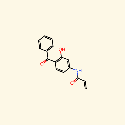 C=CC(=O)Nc1ccc(C(=O)c2ccccc2)c(O)c1